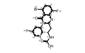 O=C(O)NCCc1nc2c(F)ccc(Br)c2c(=O)n1-c1cncc(F)c1